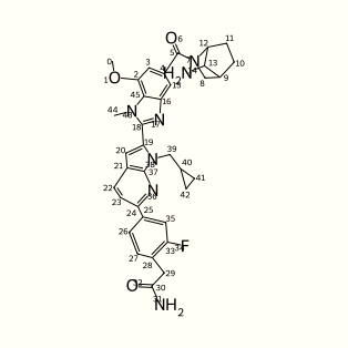 COc1cc(C(=O)N2CC3CCC2C3N)cc2nc(-c3cc4ccc(-c5ccc(CC(N)=O)c(F)c5)nc4n3CC3CC3)n(C)c12